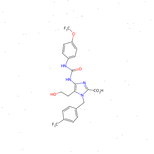 O=C(Nc1ccc(OC(F)(F)F)cc1)Nc1nc(C(=O)O)n(Cc2ccc(C(F)(F)F)cc2)c1CCO